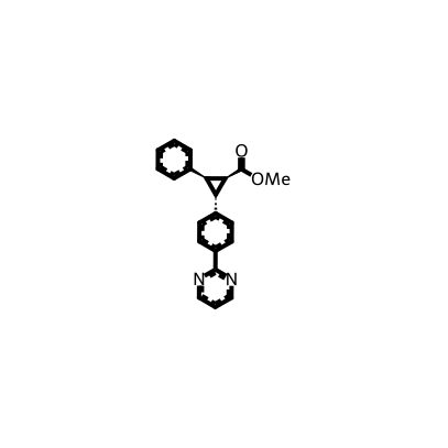 COC(=O)[C@@H]1[C@H](c2ccccc2)[C@H]1c1ccc(-c2ncccn2)cc1